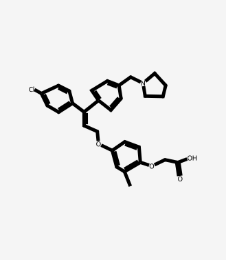 Cc1cc(OC/C=C(/c2ccc(Cl)cc2)c2ccc(CN3CCCC3)cc2)ccc1OCC(=O)O